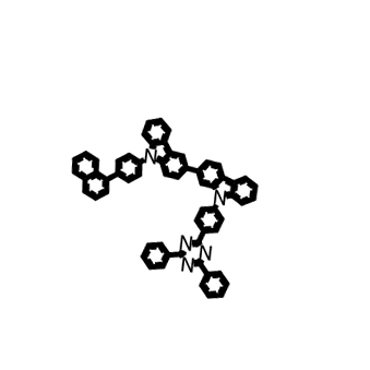 c1ccc(-c2nc(-c3ccccc3)nc(-c3ccc(-n4c5ccccc5c5ccc(-c6ccc7c(c6)c6ccccc6n7-c6ccc(-c7cccc8ccccc78)cc6)cc54)cc3)n2)cc1